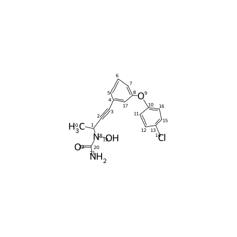 CC(C#Cc1cccc(Oc2ccc(Cl)cc2)c1)N(O)C(N)=O